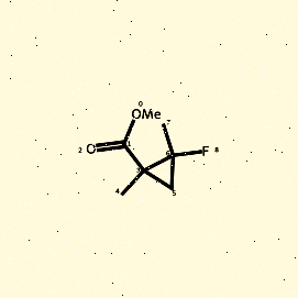 COC(=O)C1(C)CC1(C)F